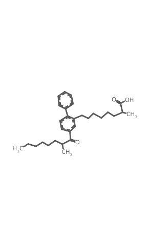 CCCCCCC(C)C(=O)c1ccc(-c2ccccc2)c(CCCCCCC(C)C(=O)O)c1